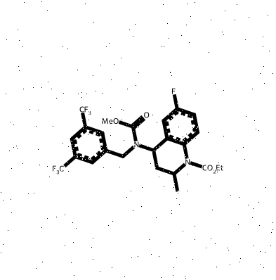 CCOC(=O)N1c2ccc(F)cc2C(N(Cc2cc(C(F)(F)F)cc(C(F)(F)F)c2)C(=O)OC)CC1C